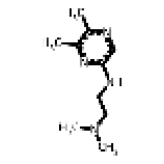 Cc1ncc(NCCN(C)C)nc1C